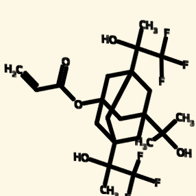 C=CC(=O)OC12CC3(C(C)(C)O)CC(C(C)(O)C(F)(F)F)(C1)CC(C(C)(O)C(F)(F)F)(C2)C3